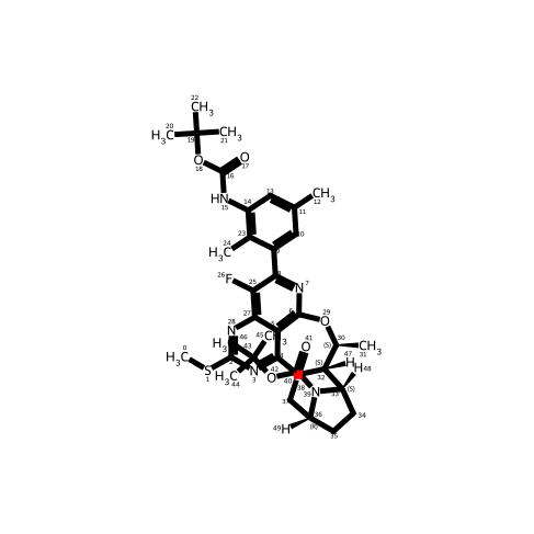 CSc1nc2c3c(nc(-c4cc(C)cc(NC(=O)OC(C)(C)C)c4C)c(F)c3n1)O[C@@H](C)[C@@H]1[C@@H]3CC[C@H](CN21)N3C(=O)OC(C)(C)C